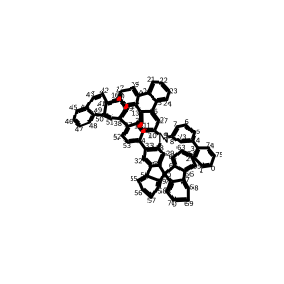 c1ccc(-c2cccc(N(c3ccc4c5ccccc5c5ccccc5c4c3)c3cc4c(cc3-c3ccc(-c5ccc6ccc7ccccc7c6c5)cc3)-c3ccccc3C43c4ccccc4-c4ccccc43)c2)cc1